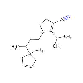 CC(C)C1=C(C#N)CCC1CCC(C)C1(C)CC=CC1